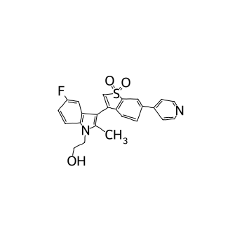 Cc1c(C2=CS(=O)(=O)c3cc(-c4ccncc4)ccc32)c2cc(F)ccc2n1CCO